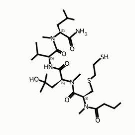 CCCC(=O)N(C)[C@H](CSCCS)C(=O)N(C)[C@@H](CC(C)(C)O)C(=O)N[C@H](C(=O)N(C)[C@@H](CC(C)C)C(N)=O)C(C)C